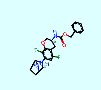 O=C(N[C@@H]1COc2c(F)c(N3CC4CCC(C3)N4C(=O)O)cc(F)c2C1)OCc1ccccc1